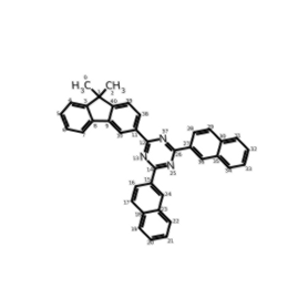 CC1(C)c2ccccc2-c2cc(-c3nc(-c4ccc5ccccc5c4)nc(-c4ccc5ccccc5c4)n3)ccc21